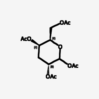 CC(=O)OC[C@H]1OC(OC(C)=O)[C@H](OC(C)=O)C[C@H]1OC(C)=O